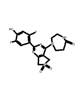 N#Cc1cc(F)c(-c2nc3c(c(N4CCNC(=O)CC4)n2)CS(=O)(=O)C3)cc1F